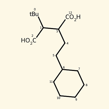 CC(C)(C)C(C(=O)O)C(CCC1CCCCC1)C(=O)O